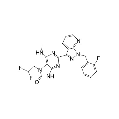 CNc1nc(-c2nn(Cc3ccccc3F)c3ncccc23)nc2[nH]c(=O)n(CC(F)F)c12